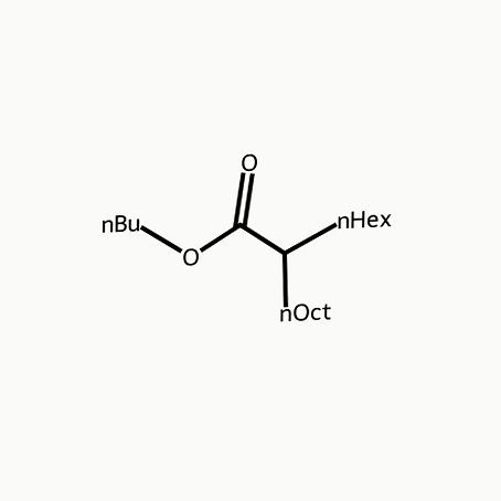 CCCCCCCCC(CCCCCC)C(=O)OCCCC